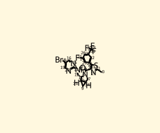 Cc1nc(C(=O)N2C[C@@H]3C[C@@H]3[C@H]2CNc2ncc(Br)cn2)c(-c2cc(F)cc(C(F)(F)F)c2)s1